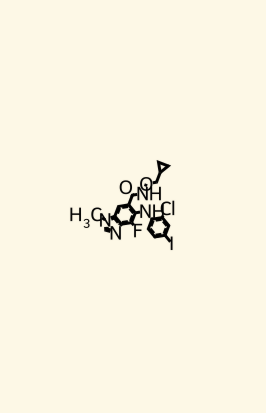 Cn1cnc2c(F)c(Nc3ccc(I)cc3Cl)c(C(=O)NOCC3CC3)cc21